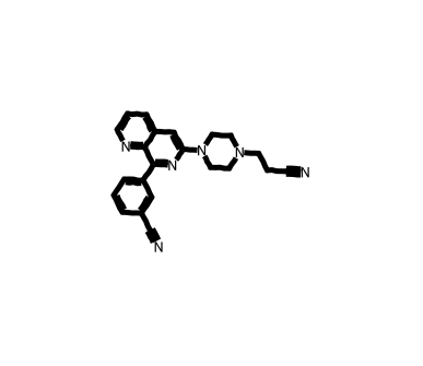 N#CCCN1CCN(c2cc3cccnc3c(-c3cccc(C#N)c3)n2)CC1